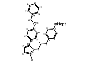 CCCCCCCc1ccc(CCCn2c(C)ccc2-c2ccc(OCc3ccccc3)cc2)cc1